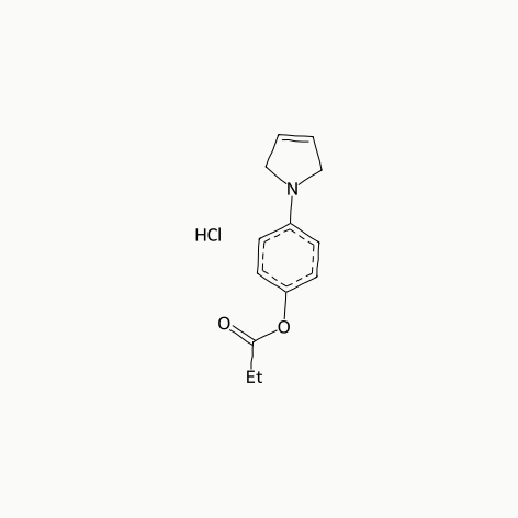 CCC(=O)Oc1ccc(N2CC=CC2)cc1.Cl